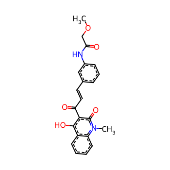 COCC(=O)Nc1cccc(/C=C/C(=O)c2c(O)c3ccccc3n(C)c2=O)c1